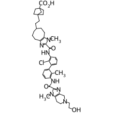 Cc1c(NC(=O)c2nc3c(n2C)CCN(CCO)C3)cccc1-c1cccc(NC(=O)c2nc3c(n2C)CCC(CCC24CCC(C(=O)O)(CC2)C4)CCC3)c1Cl